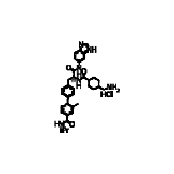 Cc1cc(C(=O)NC(C)C)ccc1-c1ccc(C[C@H](NC(=O)C2CCC(CN)CC2)C(=O)Nc2ccc3nc[nH]c3c2)cc1.Cl